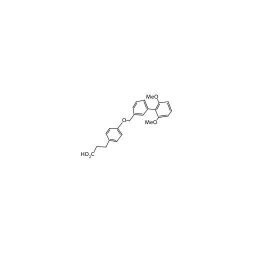 COc1cccc(OC)c1-c1cccc(COc2ccc(CCC(=O)O)cc2)c1